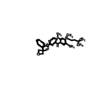 COc1cc(N(C)CCN(C)C)c(N)cc1Nc1ncnc(Nc2ccccc2C2(O)COC2)n1